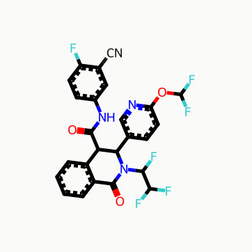 N#Cc1cc(NC(=O)C2c3ccccc3C(=O)N(C(F)C(F)F)C2c2ccc(OC(F)F)nc2)ccc1F